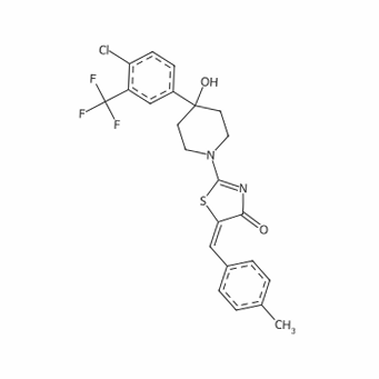 Cc1ccc(C=C2SC(N3CCC(O)(c4ccc(Cl)c(C(F)(F)F)c4)CC3)=NC2=O)cc1